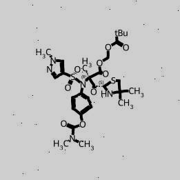 CN(C)C(=O)Oc1ccc(N([C@@](C)(C(=O)OCOC(=O)C(C)(C)C)C(=O)[C@H]2NC(C)(C)CS2)S(=O)(=O)c2cnn(C)c2)cc1